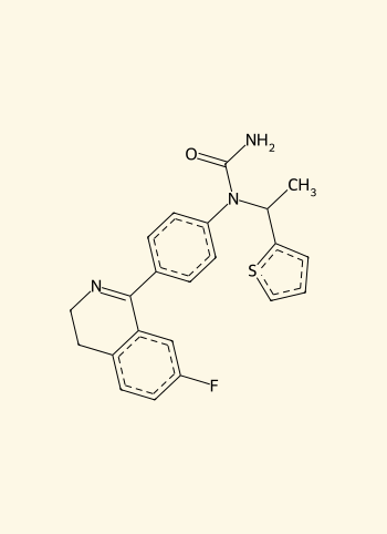 CC(c1cccs1)N(C(N)=O)c1ccc(C2=NCCc3ccc(F)cc32)cc1